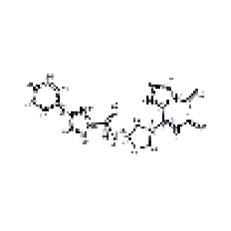 C=C/N=C(\c1nccn1C=C)N1CC[C@H](NC(=O)c2ncn(-c3ccccc3)n2)C1